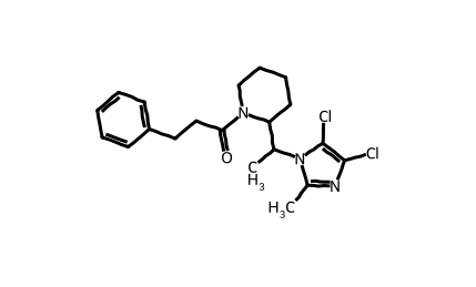 Cc1nc(Cl)c(Cl)n1C(C)C1CCCCN1C(=O)CCc1ccccc1